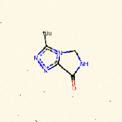 CC(C)(C)c1nnc2n1CNC2=O